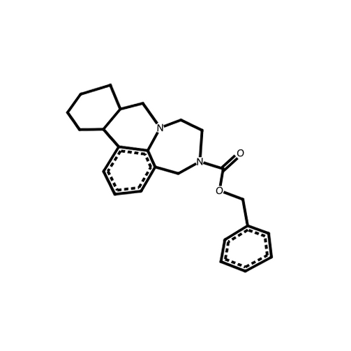 O=C(OCc1ccccc1)N1CCN2CC3CCCCC3c3cccc(c32)C1